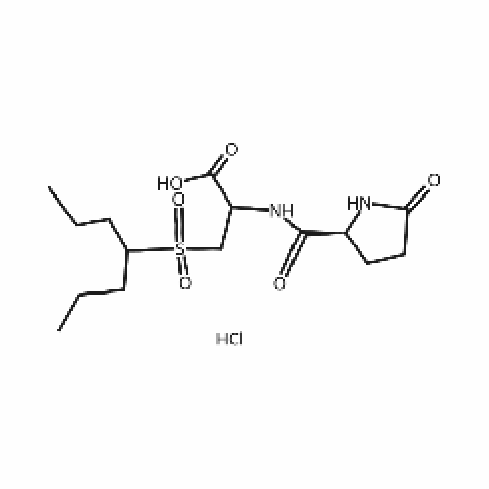 CCCC(CCC)S(=O)(=O)CC(NC(=O)[C@@H]1CCC(=O)N1)C(=O)O.Cl